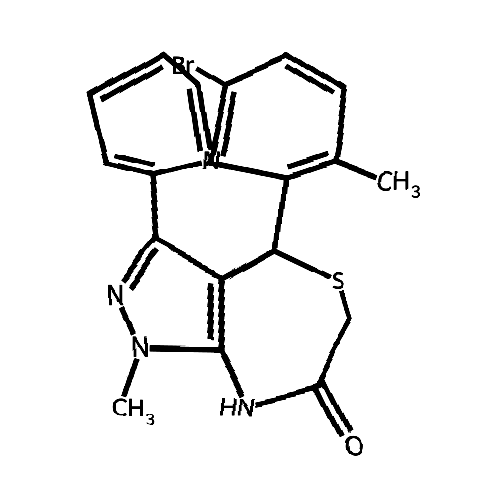 Cc1ccc(Br)cc1C1SCC(=O)Nc2c1c(-c1ccccn1)nn2C